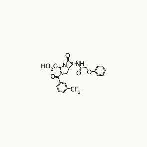 O=C(COc1ccccc1)N[C@@H]1C(=O)N2C1CN(C(=O)c1cccc(C(F)(F)F)c1)C2C(=O)O